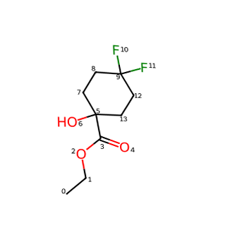 CCOC(=O)C1(O)CCC(F)(F)CC1